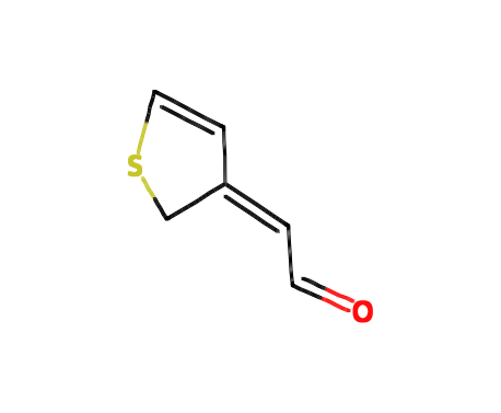 O=CC=C1C=CSC1